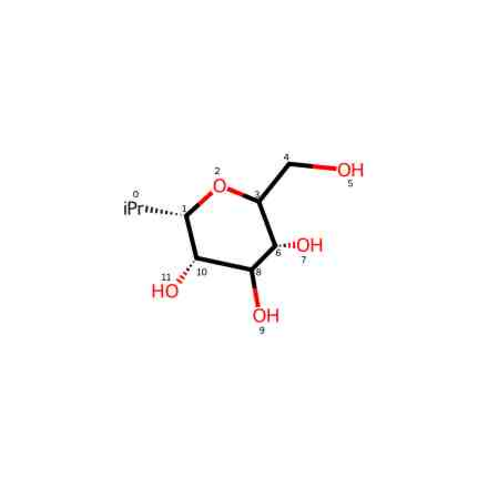 CC(C)[C@@H]1OC(CO)[C@H](O)C(O)[C@@H]1O